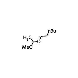 CCCCC[CH]OC(C)OC